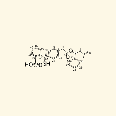 C=CCC(OC(=O)Cc1ccc(C(S)c2ccccc2C(=O)O)cc1)c1ccccc1